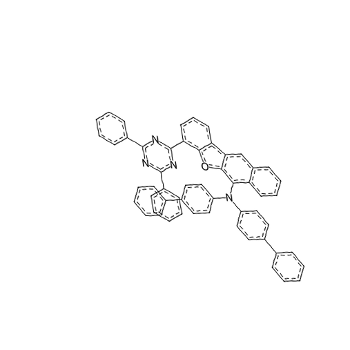 c1ccc(-c2ccc(N(c3ccc(-c4ccccc4)cc3)c3c4ccccc4cc4c3oc3c(-c5nc(-c6ccccc6)nc(-c6ccccc6)n5)cccc34)cc2)cc1